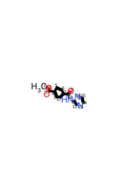 COC(=O)c1ccc(C(=O)Nc2cnccn2)cc1